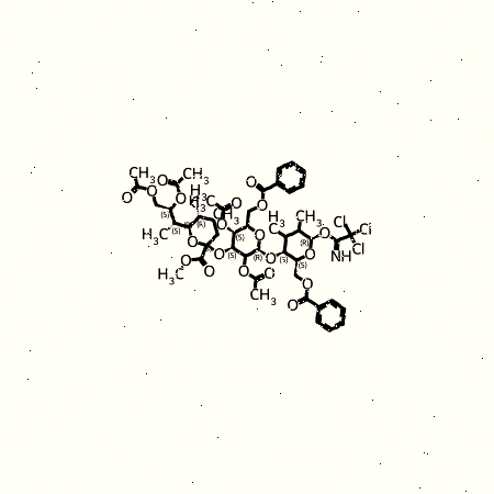 COC(=O)[C@@]1(O[C@@H]2C(OC(C)=O)[C@H](O[C@H]3C(C)C(C)[C@@H](OC(=N)C(Cl)(Cl)Cl)O[C@H]3COC(=O)c3ccccc3)OC(COC(=O)c3ccccc3)[C@@H]2OC(C)=O)CC(C)[C@@H](C)[C@H]([C@H](C)[C@@H](COC(C)=O)OC(C)=O)O1